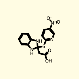 O=C(O)CC1(Sc2ccc([N+](=O)[O-])cn2)Nc2ccccc2N1